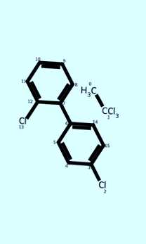 CC(Cl)(Cl)Cl.Clc1ccc(-c2ccccc2Cl)cc1